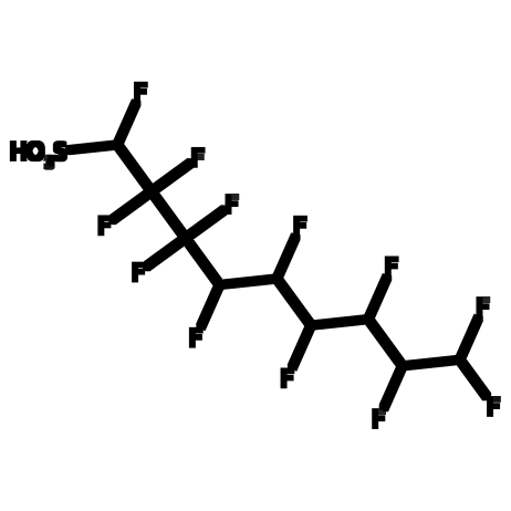 O=S(=O)(O)C(F)C(F)(F)C(F)(F)C(F)C(F)C(F)C(F)C(F)C(F)F